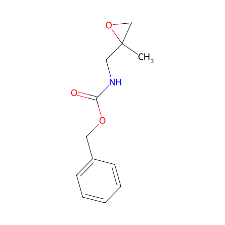 CC1(CNC(=O)OCc2ccccc2)CO1